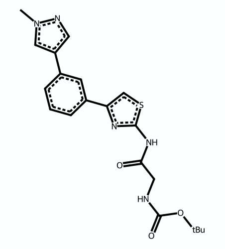 Cn1cc(-c2cccc(-c3csc(NC(=O)CNC(=O)OC(C)(C)C)n3)c2)cn1